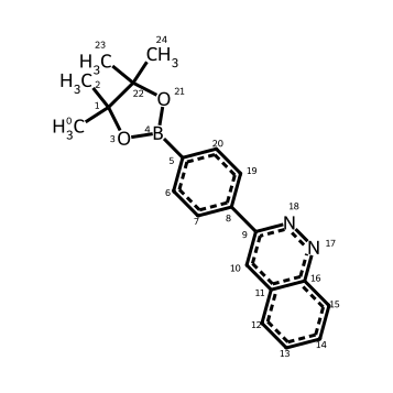 CC1(C)OB(c2ccc(-c3cc4ccccc4nn3)cc2)OC1(C)C